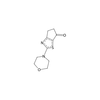 O=C1CCc2nc(N3CCOCC3)sc21